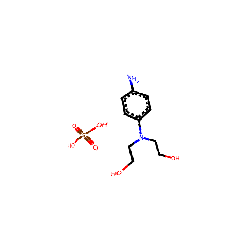 Nc1ccc(N(CCO)CCO)cc1.O=S(=O)(O)O